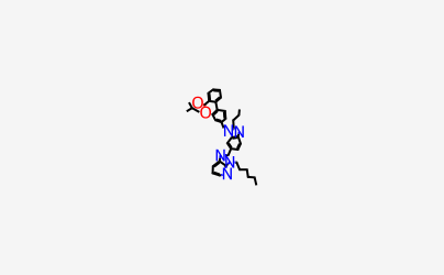 CCCCCCn1c(-c2ccc3nc(CCC)n(Cc4ccc(-c5ccccc5C(=O)OC(C)(C)C)cc4)c3c2)nc2cccnc21